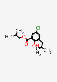 C=C(C)COC(=O)c1cc(Cl)cc(CC(=C)C)c1O